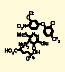 CCOc1cc(Oc2ccc(C(F)(F)F)cc2Cl)ccc1[N+](=O)[O-].CP(=O)(O)CCC(N)C(=O)O.CSc1nnc(C(C)(C)C)c(=O)n1N